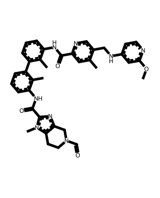 COc1cc(NCc2cnc(C(=O)Nc3cccc(-c4cccc(NC(=O)c5nc6c(n5C)CCN(C=O)C6)c4C)c3C)cc2C)ccn1